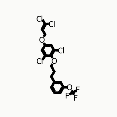 FC(F)(F)Oc1cccc(CCCOc2c(Cl)cc(OCC=C(Cl)Cl)cc2Cl)c1